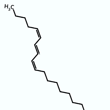 CCCC\C=C/C=[C]/C=C\CCCCCCCC